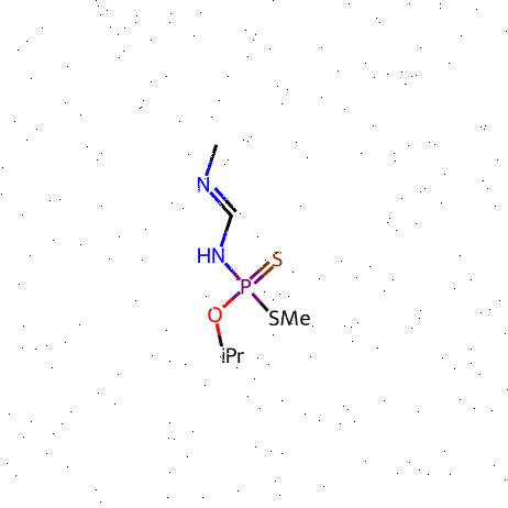 CN=CNP(=S)(OC(C)C)SC